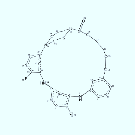 Cc1cnc2nc1Nc1cccc(c1)COCCCC(=O)N1CCN(CC1)c1cnc(F)c(c1)N2